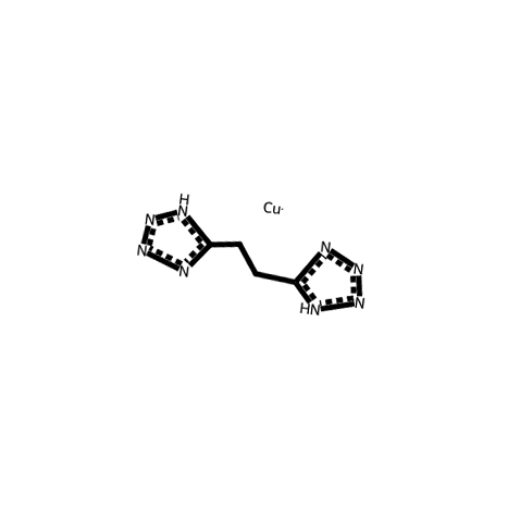 C(Cc1nnn[nH]1)c1nnn[nH]1.[Cu]